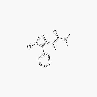 CC(C(=O)N(C)C)n1ncc(Cl)c1-c1ccccc1